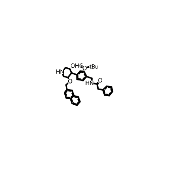 CC(C)(C)OC=O.O=C(Cc1ccccc1)NCc1ccc(C2CCNCC2OCc2ccc3ccccc3c2)cc1